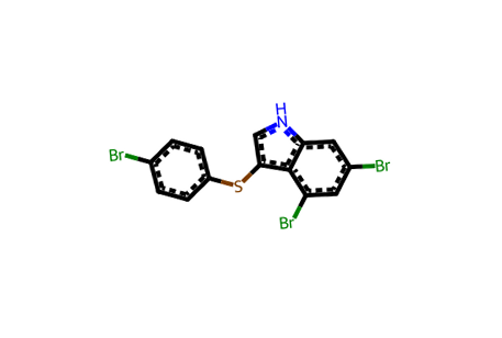 Brc1ccc(Sc2c[nH]c3cc(Br)cc(Br)c23)cc1